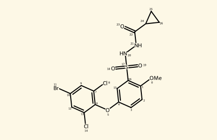 COc1ccc(Oc2c(Cl)cc(Br)cc2Cl)cc1S(=O)(=O)NNC(=O)C1CC1